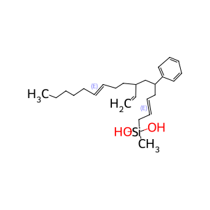 C=CC(CC/C=C/CCCCC)CC(C/C=C/C[Si](C)(O)O)c1ccccc1